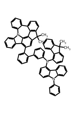 CC1(C)c2ccccc2-c2c(N(c3cccc(-c4ccccc4-c4cc5c6c7c4c4ccccc4n7-c4ccccc4-c4cccc(c4-6)C5(C)C)c3)c3cccc4c3c3ccccc3n4-c3ccccc3)cccc21